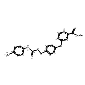 CNC(=O)c1cc(Oc2ccc(CCC(=O)Nc3ccc(C(F)(F)F)cc3)cc2)ccn1